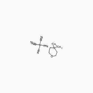 C[N+]1(C)CCOCC1.N#C[B-](C#N)(C#N)C#N